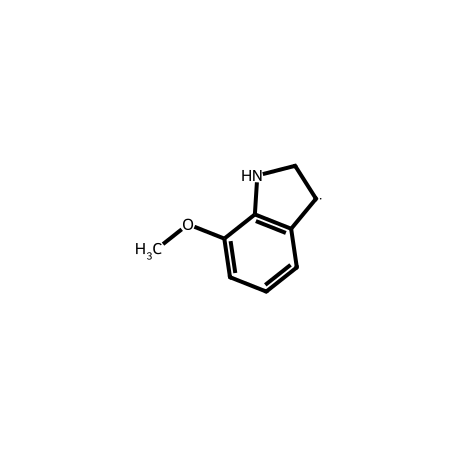 COc1cccc2c1NC[CH]2